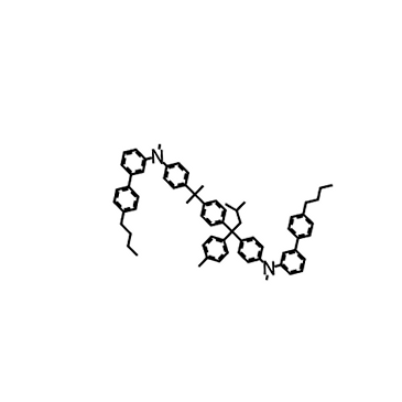 CCCCc1ccc(-c2cccc(N(C)c3ccc(C(C)(C)c4ccc(C(CC(C)C)(c5ccc(C)cc5)c5ccc(N(C)c6cccc(-c7ccc(CCCC)cc7)c6)cc5)cc4)cc3)c2)cc1